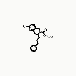 CC(C)(C)OC(=O)N1Cc2ccc(Cl)nc2CC1CCCc1ccccc1